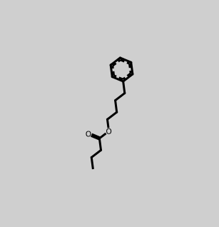 CCCC(=O)OCCCCc1ccccc1